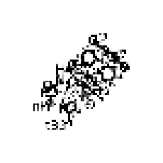 CC(C)(C)Cc1cc(NC(=O)C(C)(C)S(=O)(=O)c2ccc(S(C)(=O)=O)cc2)on1.CCCc1cc(NC(=O)C(C)(C)S(=O)(=O)c2ccc(S(C)(=O)=O)cc2)on1